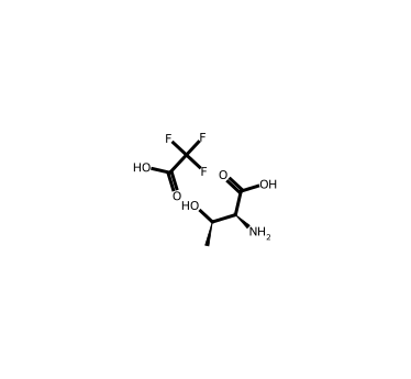 C[C@@H](O)[C@H](N)C(=O)O.O=C(O)C(F)(F)F